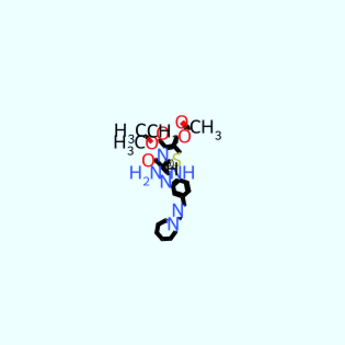 CC(=O)OCC1=C(C(=O)OC(C)(C)C)N2C(=O)C(N)(c3nc4cc(CN=CN5CCCCCC5)ccc4[nH]3)[C@@H]2SC1